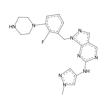 Cn1cc(Nc2ncc3cnn(Cc4cccc(N5CCNCC5)c4F)c3n2)cn1